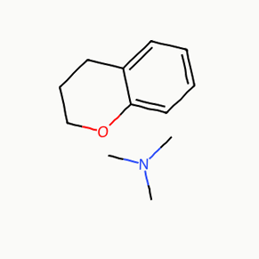 CN(C)C.c1ccc2c(c1)CCCO2